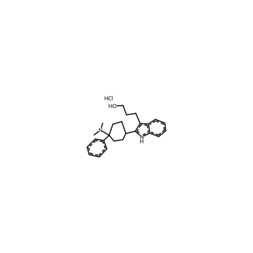 CN(C)C1(c2ccccc2)CCC(c2[nH]c3ccccc3c2CCCO)CC1.Cl